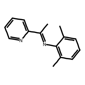 CC(=Nc1c(C)cccc1C)c1ccccn1